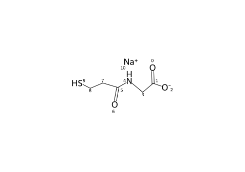 O=C([O-])CNC(=O)CCS.[Na+]